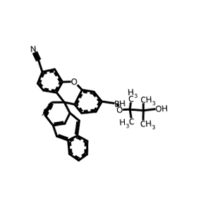 CC(C)(O)C(C)(C)OBc1ccc2c(c1)Oc1cc(C#N)ccc1C21c2ccccc2C2=CC1C=c1ccccc1=C2